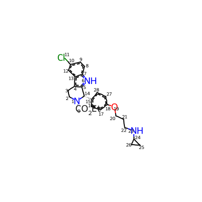 CCOC(=O)N1CCc2c([nH]c3ccc(Cl)cc23)[C@@H]1c1ccc(OCCCNC2CC2)cc1